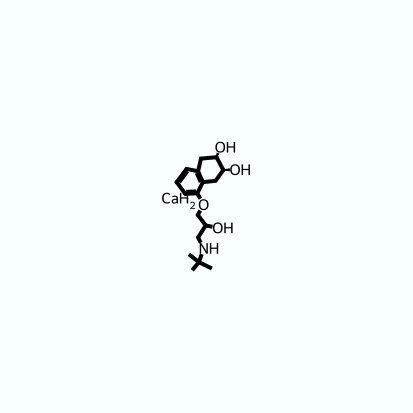 CC(C)(C)NCC(O)COc1cccc2c1C[C@H](O)[C@H](O)C2.[CaH2]